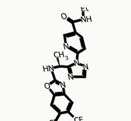 CCNC(=O)c1ccc(-n2ncnc2[C@H](C)Nc2nc3cc(C(F)(F)F)c(Cl)cc3o2)nc1